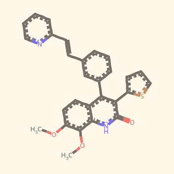 COc1ccc2c(-c3cccc(C=Cc4ccccn4)c3)c(-c3cccs3)c(=O)[nH]c2c1OC